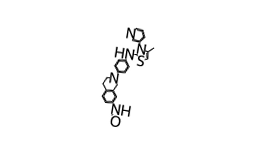 CC1=CSC(Nc2ccc(N3CCc4ccc(NC=O)cc4C3)cc2)N1c1cccnc1